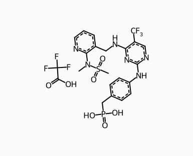 CN(c1ncccc1CNc1nc(Nc2ccc(CP(=O)(O)O)cc2)ncc1C(F)(F)F)S(C)(=O)=O.O=C(O)C(F)(F)F